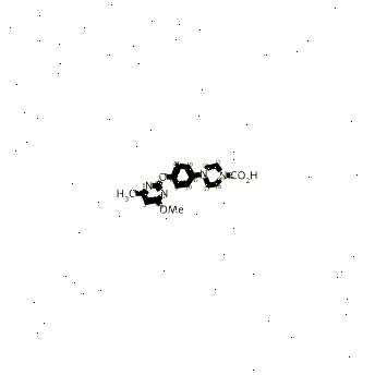 COc1cc(C)nc(Oc2ccc(N3CCN(C(=O)O)CC3)cc2)n1